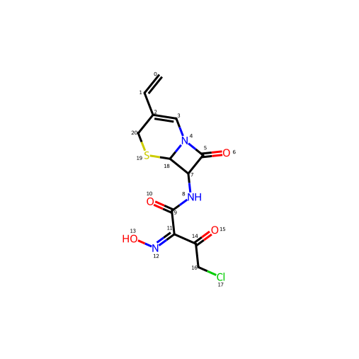 C=CC1=CN2C(=O)C(NC(=O)/C(=N\O)C(=O)CCl)C2SC1